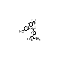 Nc1n[nH]cc1-c1ccc(C(=O)Nc2cc(C(F)(F)F)cnc2N2CCC(O)CC2)o1